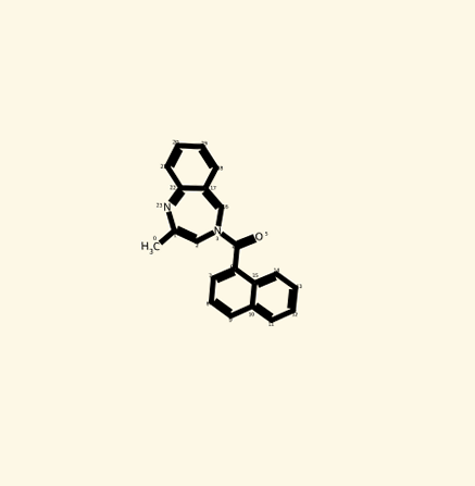 CC1=CN(C(=O)c2cccc3ccccc23)C=c2ccccc2=N1